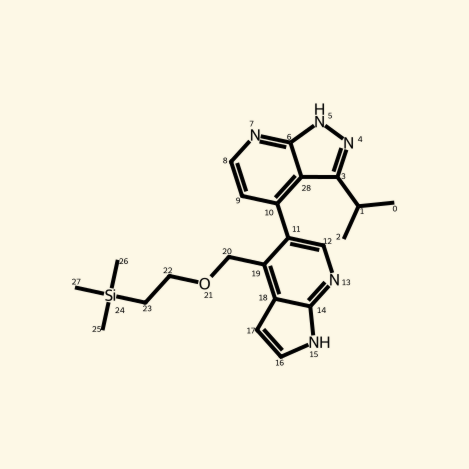 CC(C)c1n[nH]c2nccc(-c3cnc4[nH]ccc4c3COCC[Si](C)(C)C)c12